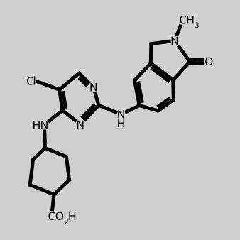 CN1Cc2cc(Nc3ncc(Cl)c(NC4CCC(C(=O)O)CC4)n3)ccc2C1=O